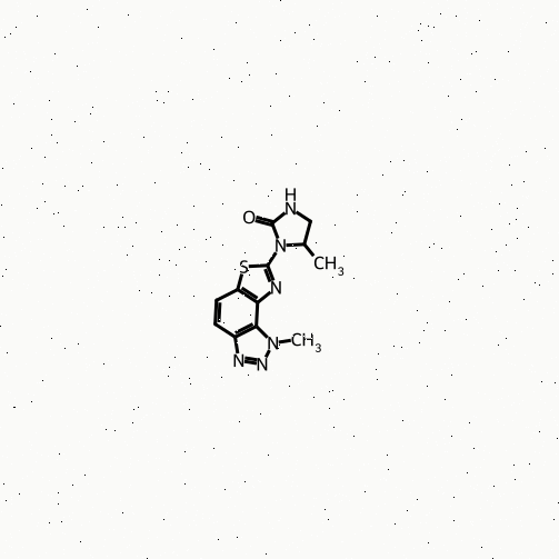 CC1CNC(=O)N1c1nc2c(ccc3nnn(C)c32)s1